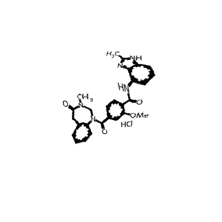 COc1cc(C(=O)N2CN(C)C(=O)Cc3ccccc32)ccc1C(=O)Nc1cccc2[nH]c(C)nc12.Cl